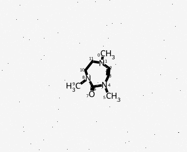 CN1C=CN(C)C(=O)N(C)CC1